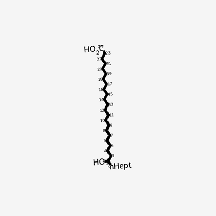 CCCCCCCC(O)CCCCCCCCCCCCCCCCCCCCCC(=O)O